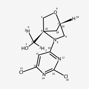 [2H]C([2H])(O)[C@]12CO[C@H](CN1c1cc(Cl)nc(Cl)n1)C2